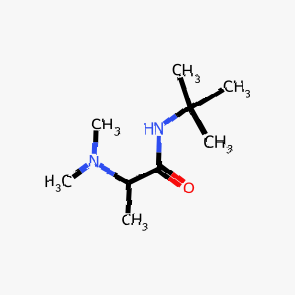 CC(C(=O)NC(C)(C)C)N(C)C